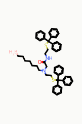 BCCCCCCCN(CCSC(c1ccccc1)(c1ccccc1)c1ccccc1)CC(=O)NCCSC(c1ccccc1)(c1ccccc1)c1ccccc1